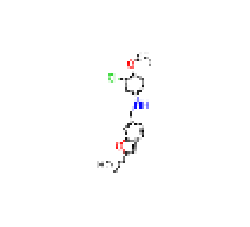 O=C(O)c1cc2ccc(CNc3ccc(OC(F)(F)F)c(Cl)c3)cc2o1